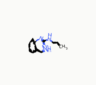 C=CCNC1=Nc2ccccc2CN1